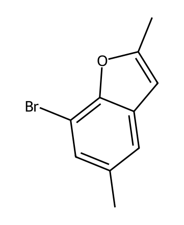 Cc1cc(Br)c2oc(C)cc2c1